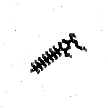 CCC=C(C)C(=O)ON(C)C(=O)C(F)(F)C(F)(F)C(F)(F)C(F)(F)C(F)(F)C(F)(F)C(F)(F)F